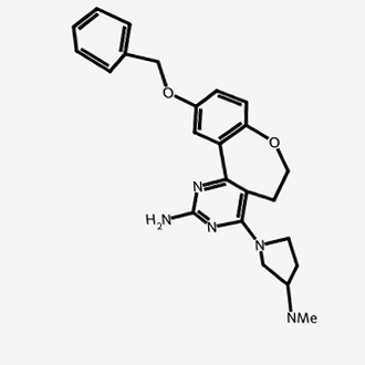 CNC1CCN(c2nc(N)nc3c2CCOc2ccc(OCc4ccccc4)cc2-3)C1